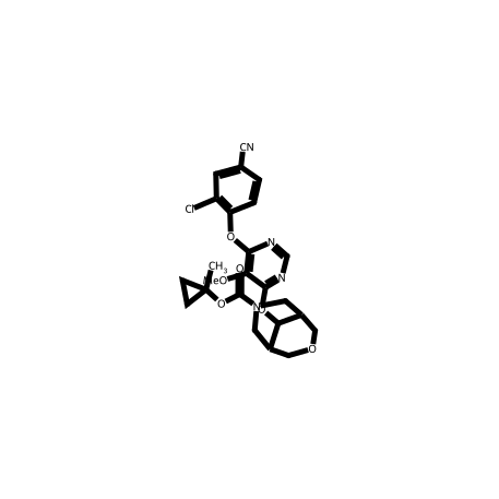 COc1c(Oc2ccc(C#N)cc2Cl)ncnc1OC1C2COCC1CN(C(=O)OC1(C)CC1)C2